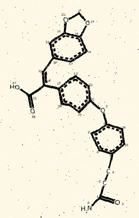 NC(=O)CCc1ccc(Oc2ccc(/C(=C\c3ccc4c(c3)OCO4)C(=O)O)cc2)cc1